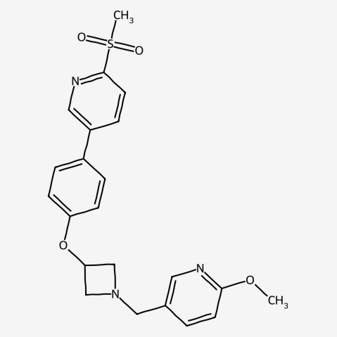 COc1ccc(CN2CC(Oc3ccc(-c4ccc(S(C)(=O)=O)nc4)cc3)C2)cn1